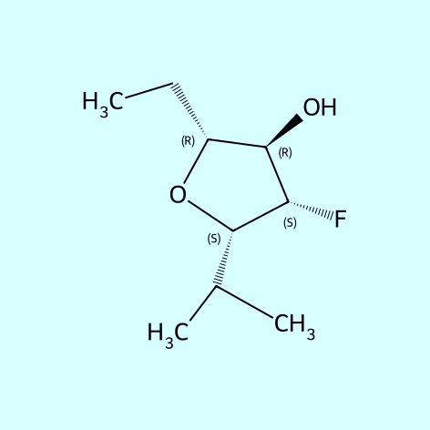 CC[C@H]1O[C@@H](C(C)C)[C@@H](F)[C@@H]1O